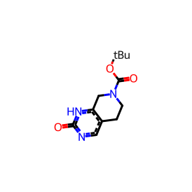 CC(C)(C)OC(=O)N1CCc2cnc(=O)[nH]c2C1